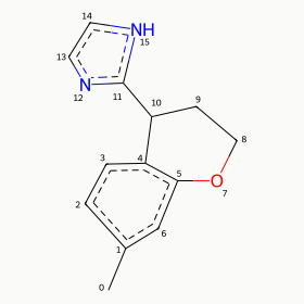 Cc1ccc2c(c1)OCCC2c1ncc[nH]1